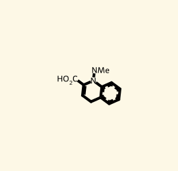 CNN1C(C(=O)O)=CCc2ccccc21